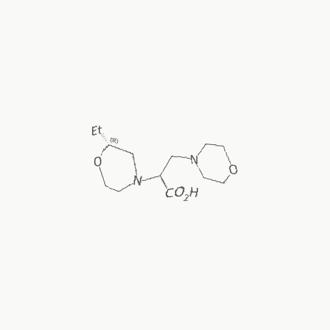 CC[C@@H]1CN(C(CN2CCOCC2)C(=O)O)CCO1